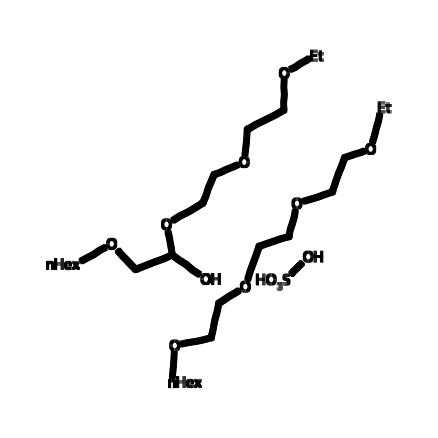 CCCCCCOCC(O)OCCOCCOCC.CCCCCCOCCOCCOCCOCC.O=S(=O)(O)O